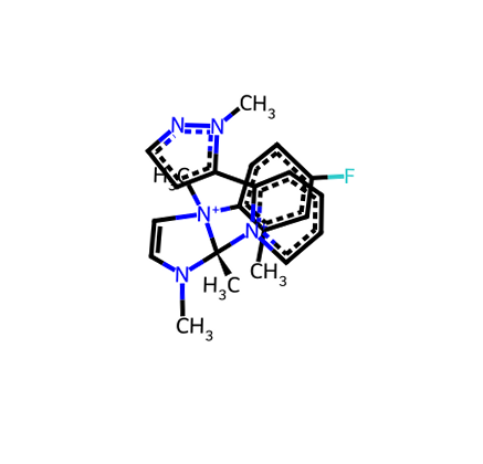 Cc1cc(F)ccc1[N+]1(C)C=CN(C)[C@@]1(C)[n+]1ccccc1-c1ccnn1C